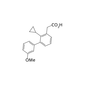 COc1cccc(-c2cccc(CC(=O)O)c2C2CC2)c1